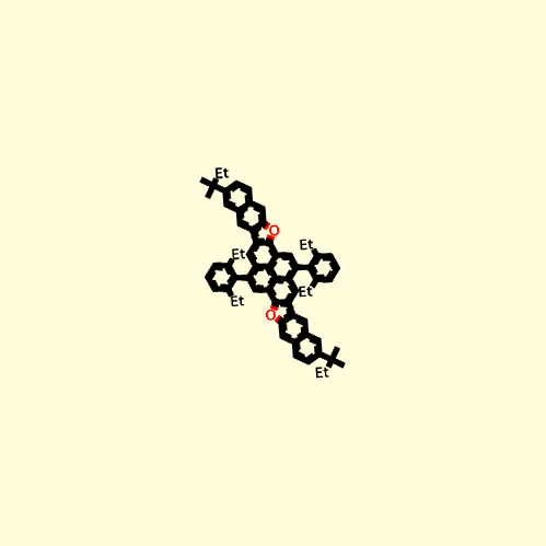 CCc1cccc(CC)c1-c1cc2c3oc4cc5ccc(C(C)(C)CC)cc5cc4c3cc3c(-c4c(CC)cccc4CC)cc4c5oc6cc7ccc(C(C)(C)CC)cc7cc6c5cc1c4c32